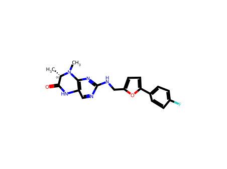 C[C@H]1C(=O)Nc2cnc(NCc3ccc(-c4ccc(F)cc4)o3)nc2N1C